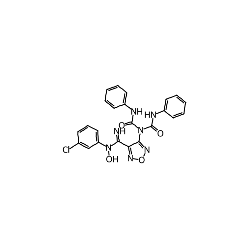 N=C(c1nonc1N(C(=O)Nc1ccccc1)C(=O)Nc1ccccc1)N(O)c1cccc(Cl)c1